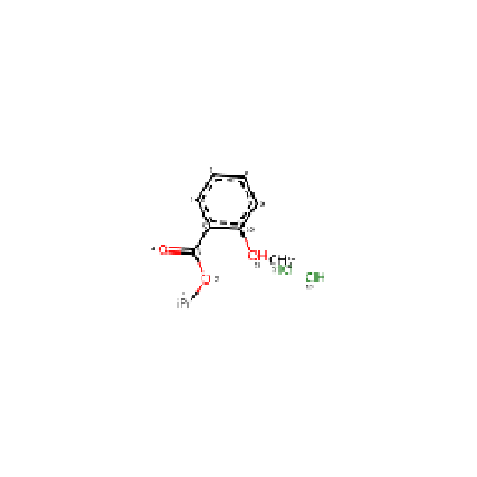 C.CC(C)OC(=O)c1ccccc1O.Cl.Cl